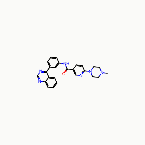 CN1CCN(c2ccc(C(=O)Nc3cccc(-c4ncnc5ccccc45)c3)cn2)CC1